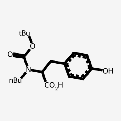 CCCCN(C(=O)OC(C)(C)C)C(Cc1ccc(O)cc1)C(=O)O